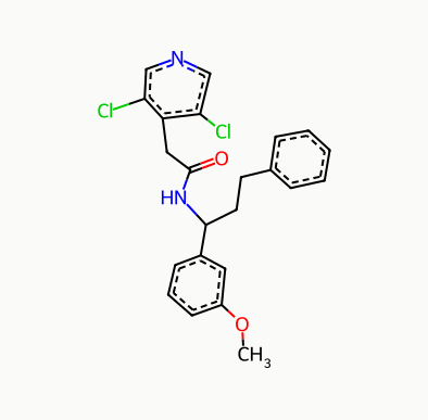 COc1cccc(C(CCc2ccccc2)NC(=O)Cc2c(Cl)cncc2Cl)c1